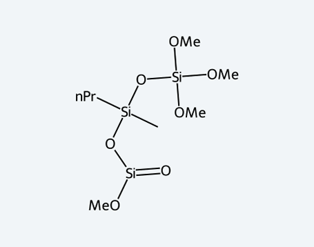 CCC[Si](C)(O[Si](=O)OC)O[Si](OC)(OC)OC